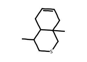 CC1CSCC2(C)CC=CCC12